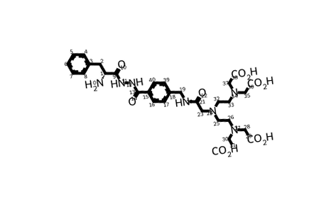 N[C@H](Cc1ccccc1)C(=O)NNC(=O)c1ccc(CNC(=O)CN(CCN(CC(=O)O)CC(=O)O)CCN(CC(=O)O)CC(=O)O)cc1